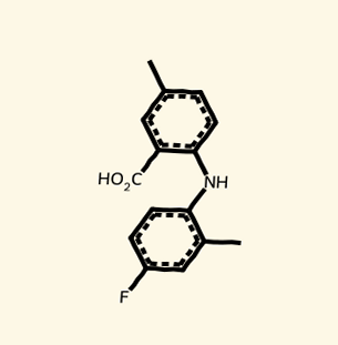 Cc1ccc(Nc2ccc(F)cc2C)c(C(=O)O)c1